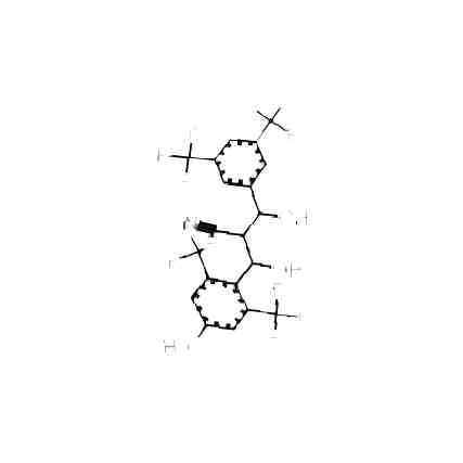 Cc1cc(C(F)(F)F)c(C(O)C(C#N)C(O)c2cc(C(F)(F)F)cc(C(F)(F)F)c2)c(C(F)(F)F)c1